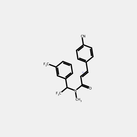 CN(C(=O)/C=C/c1ccc(C#N)cc1)C(c1cccc(C(F)(F)F)c1)C(F)(F)F